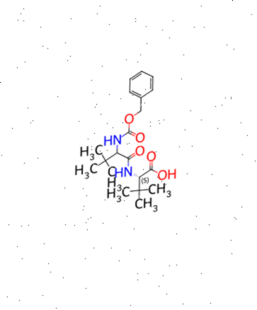 CC(C)(C)C(NC(=O)OCc1ccccc1)C(=O)N[C@H](C(=O)O)C(C)(C)C